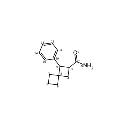 NC(=O)C1CC2(CCC2)C1c1ccccc1